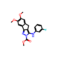 COC(=O)n1nc2c(c1Nc1cccc(F)c1)Cc1cc(OC)c(OC)cc1-2